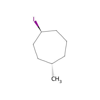 C[C@H]1CCC[C@H](I)CC1